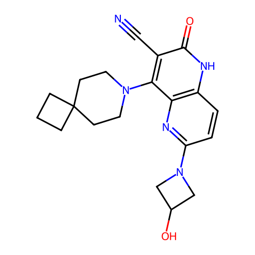 N#Cc1c(N2CCC3(CCC3)CC2)c2nc(N3CC(O)C3)ccc2[nH]c1=O